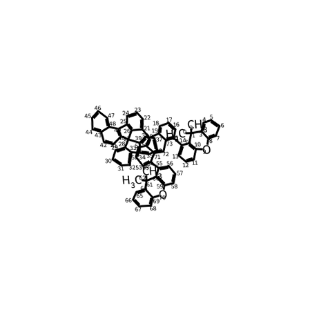 CC1(C)c2ccccc2Oc2cccc(-c3cccc4c(-c5cccc6c5C5(c7ccccc7-c7ccccc75)c5ccc7ccccc7c5-6)c5cccc(-c6cccc7c6C(C)(C)c6ccccc6O7)c5cc34)c21